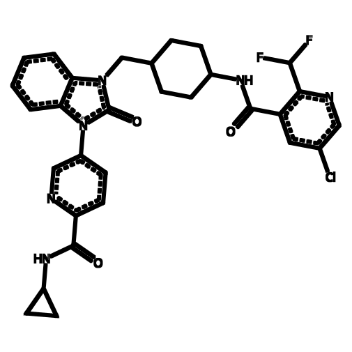 O=C(NC1CC1)c1ccc(-n2c(=O)n(CC3CCC(NC(=O)c4cc(Cl)cnc4C(F)F)CC3)c3ccccc32)cn1